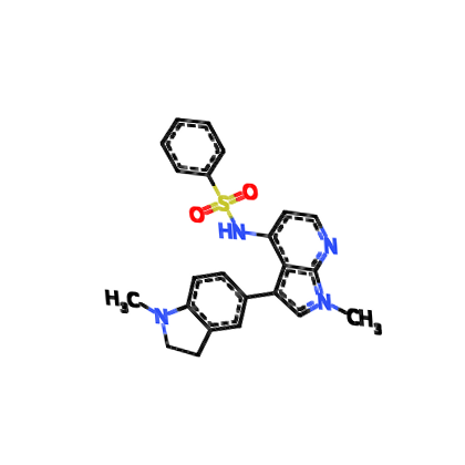 CN1CCc2cc(-c3cn(C)c4nccc(NS(=O)(=O)c5ccccc5)c34)ccc21